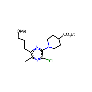 CCOC(=O)C1CCN(c2nc(CCCOC)c(C)nc2Cl)CC1